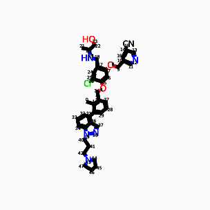 Cc1c(COc2cc(OCc3cncc(C#N)c3)c(CNC(C)CO)cc2Cl)cccc1-c1cccc2c1cnn2CCCN1CCCC1